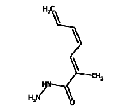 C=C/C=C\C=C(/C)C(=O)NN